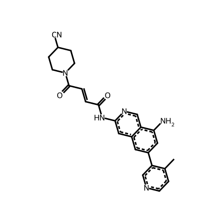 Cc1ccncc1-c1cc(N)c2cnc(NC(=O)/C=C/C(=O)N3CCC(C#N)CC3)cc2c1